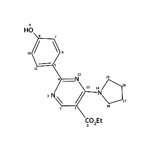 CCOC(=O)c1cnc(-c2ccc(O)cc2)nc1N1CCCC1